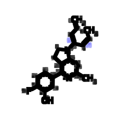 C=C/C=C(\C=C/C)N1CCc2c(-c3ccc(F)c(O)c3)nc(C)nc21